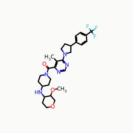 COC1COCCC1NC1CCN(C(=O)c2ncnc(N3CCC(c4ccc(C(F)(F)F)cc4)C3)c2C)CC1